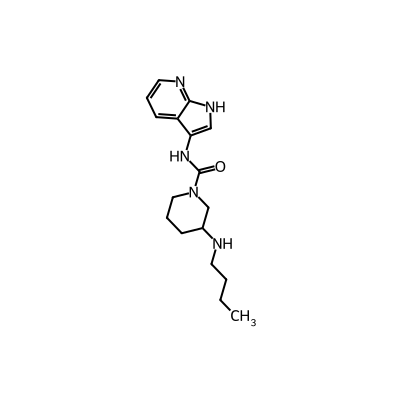 CCCCNC1CCCN(C(=O)Nc2c[nH]c3ncccc23)C1